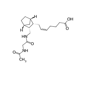 CC(=O)NCC(=O)NC[C@@H]1[C@@H]2CC[C@@H](C2)[C@@H]1C/C=C\CCCC(=O)O